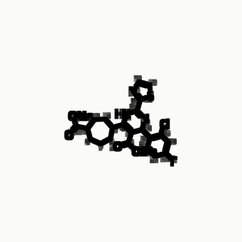 COC(=O)C1=C(C2CCCC(C(=O)OC)CC2)NC(c2nccs2)=NC1c1ccc(F)cc1Cl